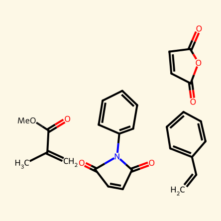 C=C(C)C(=O)OC.C=Cc1ccccc1.O=C1C=CC(=O)N1c1ccccc1.O=C1C=CC(=O)O1